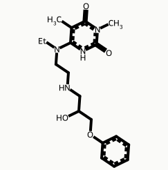 CCN(CCNCC(O)COc1ccccc1)c1[nH]c(=O)n(C)c(=O)c1C